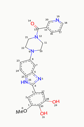 COc1cc(-c2nc3cc(N4CCN(C(=O)c5cccnc5)CC4)ccc3[nH]2)cc(O)c1O